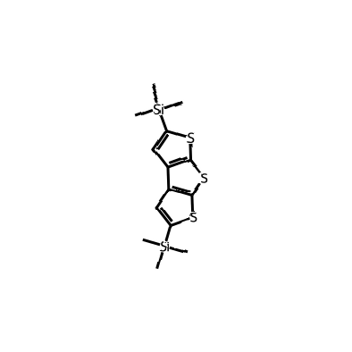 C[Si](C)(C)c1cc2c(s1)sc1sc([Si](C)(C)C)cc12